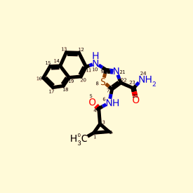 CC1CC1C(=O)Nc1sc(Nc2ccc3ccccc3c2)nc1C(N)=O